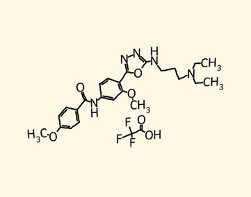 CCN(CC)CCCNc1nnc(-c2ccc(NC(=O)c3ccc(OC)cc3)cc2OC)o1.O=C(O)C(F)(F)F